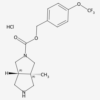 C[C@]12CNC[C@@H]1CN(C(=O)OCc1ccc(OC(F)(F)F)cc1)C2.Cl